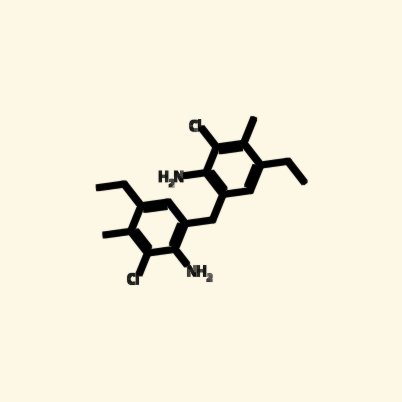 CCc1cc(Cc2cc(CC)c(C)c(Cl)c2N)c(N)c(Cl)c1C